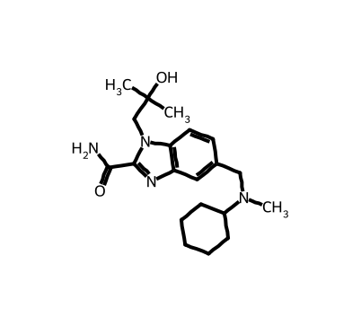 CN(Cc1ccc2c(c1)nc(C(N)=O)n2CC(C)(C)O)C1CCCCC1